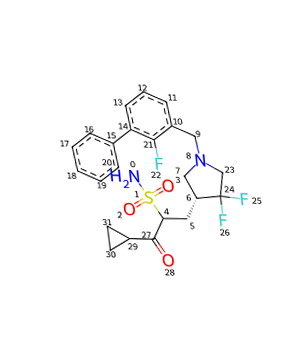 NS(=O)(=O)C(C[C@@H]1CN(Cc2cccc(-c3ccccc3)c2F)CC1(F)F)C(=O)C1CC1